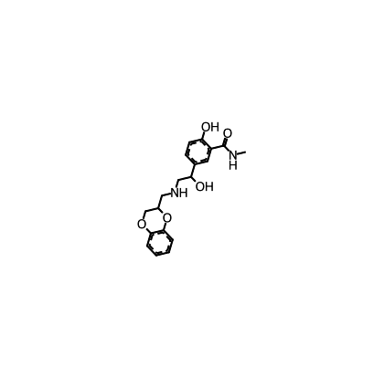 CNC(=O)c1cc(C(O)CNCC2COc3ccccc3O2)ccc1O